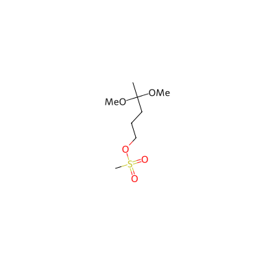 COC(C)(CCCOS(C)(=O)=O)OC